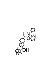 Cc1ccc(C(NC(=O)Cc2ccc3oc(C(O)c4c(C)noc4C)cc3c2)c2ccccc2)nc1